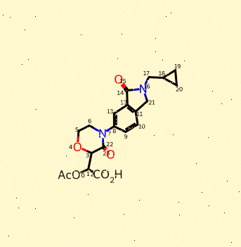 CC(=O)OC(C(=O)O)C1OCCN(c2ccc3c(c2)C(=O)N(CC2CC2)C3)C1=O